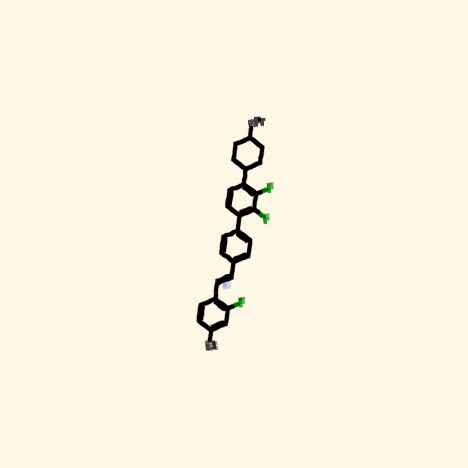 CCCC1CCC(c2ccc(-c3ccc(/C=C/c4ccc(CC)cc4F)cc3)c(F)c2F)CC1